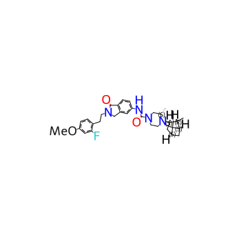 COc1ccc(CCN2Cc3cc(NC(=O)N4CCN([C@H]5C[C@@H]6C[C@@H]([C@H]5C)C6(C)C)[C@@H](C)C4)ccc3C2=O)c(F)c1